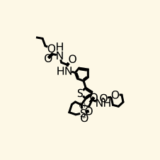 CCCOC(=O)NCC(=O)Nc1cccc(-c2ccc([C@@]3(CC(=O)NOC4CCCCO4)CCCCS3(=O)=O)s2)c1